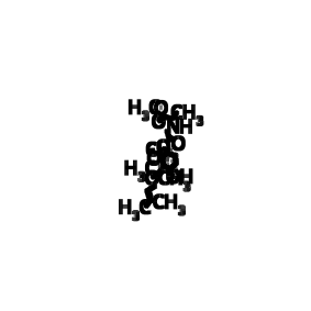 COC(=O)C(C)NCC(=O)O[C@@H]1CC[C@@H](O)[C@@H](C(C)(C)OCC=C(C)C)[C@@H]1OC